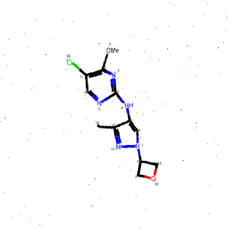 COc1nc(Nc2cn(C3COC3)nc2C)ncc1Cl